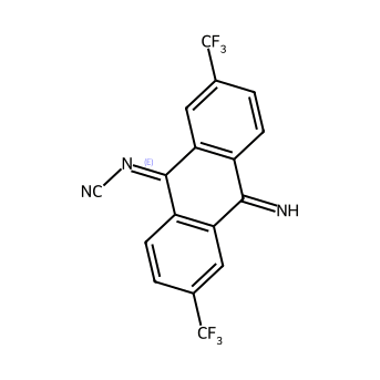 N#C/N=C1\c2ccc(C(F)(F)F)cc2C(=N)c2ccc(C(F)(F)F)cc21